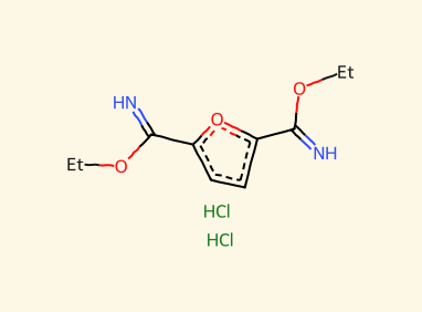 CCOC(=N)c1ccc(C(=N)OCC)o1.Cl.Cl